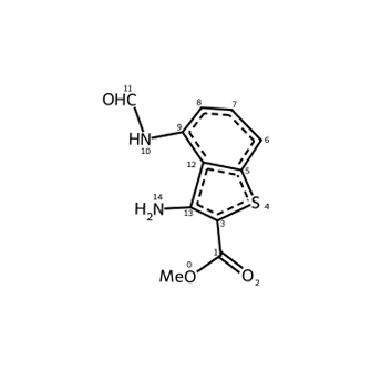 COC(=O)c1sc2cccc(NC=O)c2c1N